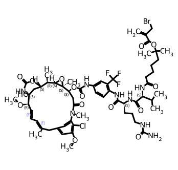 C=C(CBr)C(=O)OC(C)(C)CCCCC(=O)N[C@H](C(=O)N[C@@H](CCCNC(N)=O)C(=O)Nc1ccc(NC(=O)O[C@H]2CC(=O)N(C)c3cc(cc(OC)c3Cl)C/C(C)=C/C=C/[C@@H](OC)[C@@]3(O)C[C@H](OC(=O)N3)[C@@H](C)[C@@H]3O[C@@]23C)cc1C(F)(F)F)C(C)C